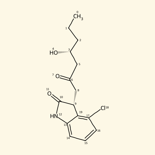 CCC[C@@H](O)CC(=O)C[C@H]1C(=O)Nc2cccc(Cl)c21